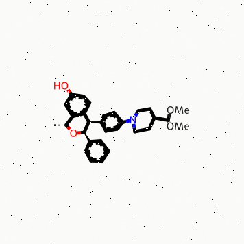 COC(OC)C1CCN(c2ccc([C@@H]3c4ccc(O)cc4[C@@H](C)O[C@@H]3c3ccccc3)cc2)CC1